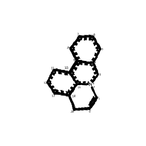 C1=C[n+]2cc3ccccc3c3cccc(c32)C1